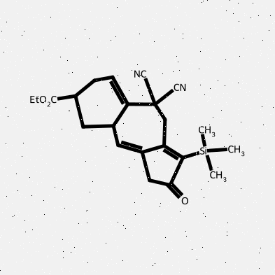 CCOC(=O)C1CC=C2C(C=C3CC(=O)C([Si](C)(C)C)=C3CC2(C#N)C#N)C1